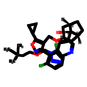 C[Si](C)(C)CCOCn1nnc2ncc([C@]3(O)[C@@H]4CC[C@H]3C[C@@H](OCc3c(-c5c(Cl)cccc5Cl)noc3C3CC3)C4)cc21